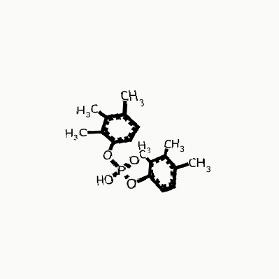 Cc1ccc(OP(=O)(O)Oc2ccc(C)c(C)c2C)c(C)c1C